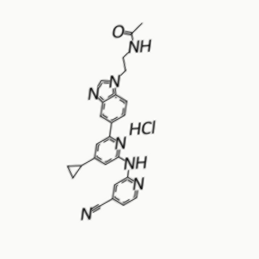 CC(=O)NCCn1cnc2cc(-c3cc(C4CC4)cc(Nc4cc(C#N)ccn4)n3)ccc21.Cl